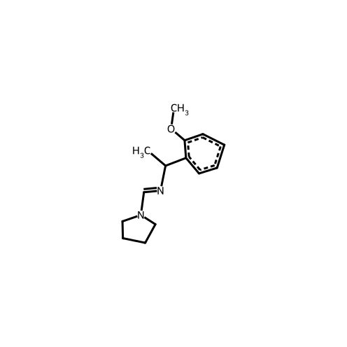 COc1ccccc1C(C)N=CN1CCCC1